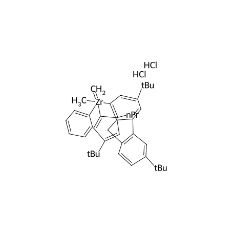 Cl.Cl.[CH2]=[Zr]([CH3])([C]1=CC(C(C)(C)C)=CC1CCC)([c]1ccccc1)[c]1cc(C(C)(C)C)cc2c1Cc1ccc(C(C)(C)C)cc1-2